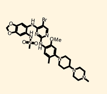 COc1cc(N2CCC(N3CCN(C)CC3)CC2)c(C)cc1Nc1ncc(Br)c(Nc2cc3c(cc2NS(C)(=O)=O)OCO3)n1